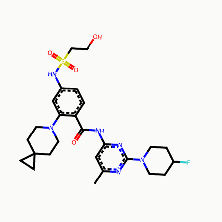 Cc1cc(NC(=O)c2ccc(NS(=O)(=O)CCO)cc2N2CCC3(CC2)CC3)nc(N2CCC(F)CC2)n1